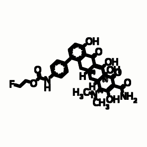 CN(C)[C@H]1C(O)=C(C(N)=O)C(=O)[C@@]2(O)C(O)=C3C(=O)c4c(O)ccc(-c5ccc(NC(=O)OCCF)cc5)c4C[C@H]3C[C@@H]12